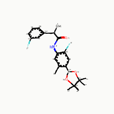 CC(=O)OC(C(=O)Nc1cc(C)c(B2OC(C)(C)C(C)(C)O2)cc1F)c1cccc(F)c1